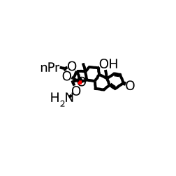 CCCC1OC2CC3C4CCC5=CC(=O)C=CC5(C)C4C(O)CC3(C)C2(C(=O)CON)O1